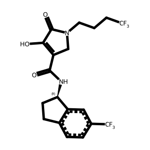 O=C(N[C@@H]1CCc2ccc(C(F)(F)F)cc21)C1=C(O)C(=O)N(CCCC(F)(F)F)C1